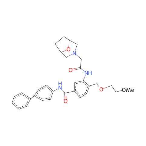 COCCOCc1ccc(C(=O)Nc2ccc(-c3ccccc3)cc2)cc1NC(=O)CN1CC2CCC(C1)O2